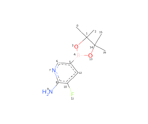 CC1(C)OB(c2cnc(N)c(F)c2)OC1(C)C